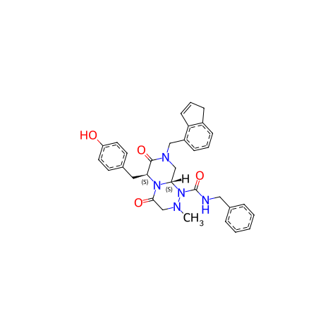 CN1CC(=O)N2[C@@H](Cc3ccc(O)cc3)C(=O)N(Cc3cccc4c3C=CC4)C[C@@H]2N1C(=O)NCc1ccccc1